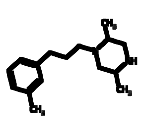 Cc1cccc(CCCN2CC(C)NCC2C)c1